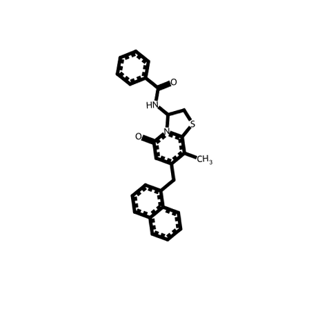 Cc1c(Cc2cccc3ccccc23)cc(=O)n2c1SCC2NC(=O)c1ccccc1